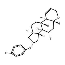 C[C@H]1C[C@H]2OCC=C[C@]2(C)[C@H]2CC[C@]3(C)C[C@@H](Oc4ccc(Cl)cc4)C[C@H]3[C@H]12